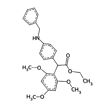 CCOC(=O)C(c1ccc(NCc2ccccc2)cc1)c1c(OC)cc(OC)cc1OC